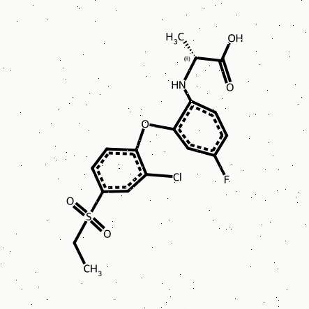 CCS(=O)(=O)c1ccc(Oc2cc(F)ccc2N[C@H](C)C(=O)O)c(Cl)c1